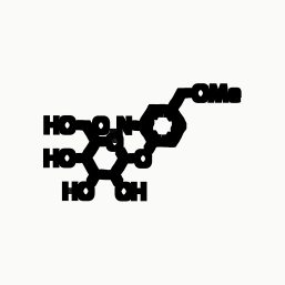 COCc1ccc(OC2OC(CO)C(O)C(O)C2O)c([N+](=O)[O-])c1